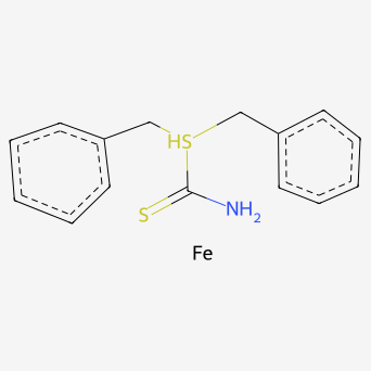 NC(=S)[SH](Cc1ccccc1)Cc1ccccc1.[Fe]